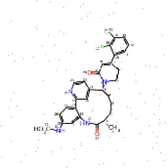 C[C@H]1CCC[C@H](N2CCC(c3cccc(Cl)c3F)=CC2=O)c2ccnc(c2)-c2ccc(NC(=O)O)cc2NC1=O